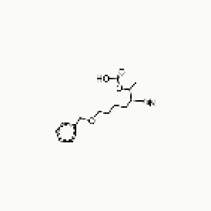 CC(OC(=O)O)C(C#N)CCCCOCc1ccccc1